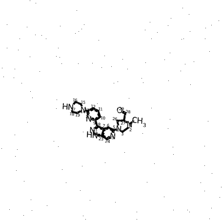 CN1CCN(c2cc3c(-c4cccc(N5CCNCC5)n4)n[nH]c3cn2)CC1C=O